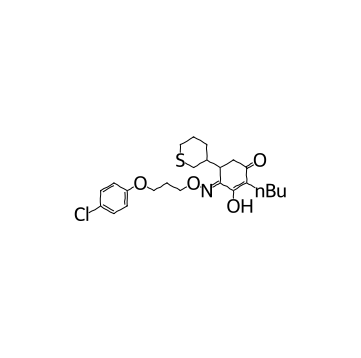 CCCCC1=C(O)C(=NOCCCOc2ccc(Cl)cc2)C(C2CCCSC2)CC1=O